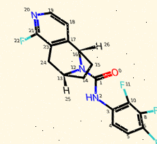 O=C(Nc1ccc(F)c(F)c1F)N1[C@@H]2CC[C@H]1c1ccnc(F)c1C2